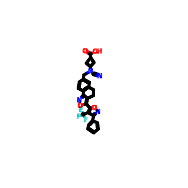 N#CN(Cc1ccc2c(c1)CCc1c-2noc1-c1onc(-c2ccccc2)c1C(F)(F)F)C1CC(C(=O)O)C1